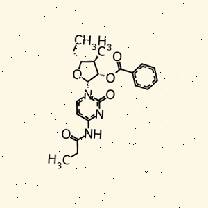 CCC(=O)Nc1ccn([C@@H]2O[C@H](CC)[C@@H](C)[C@@H]2OC(=O)c2ccccc2)c(=O)n1